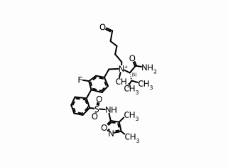 Cc1noc(NS(=O)(=O)c2ccccc2-c2ccc(C[N+](C)(CCCCC=O)[C@H](C(N)=O)C(C)C)cc2F)c1C